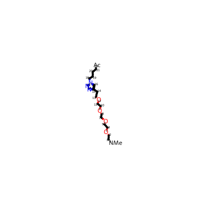 CNCCOCCOCCOCCOCCc1cn(CCCCC(C)=O)nn1